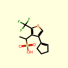 CC(c1c(C2=CCCC2)csc1C(F)(F)F)S(=O)(=O)O